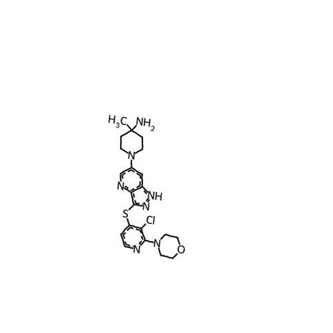 CC1(N)CCN(c2cnc3c(Sc4ccnc(N5CCOCC5)c4Cl)n[nH]c3c2)CC1